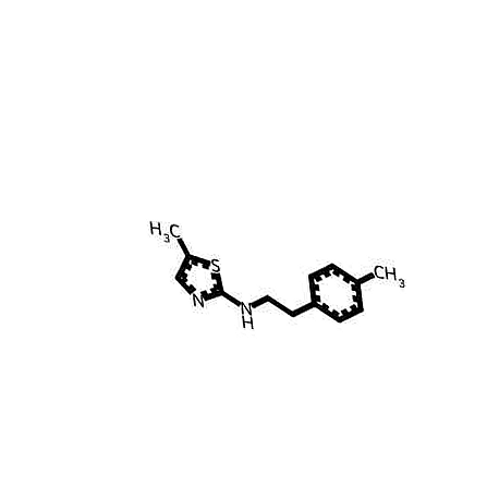 Cc1ccc(CCNc2ncc(C)s2)cc1